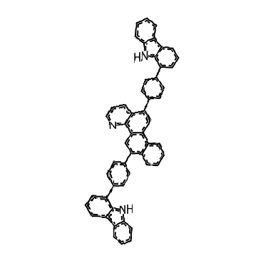 c1ccc2c(c1)[nH]c1c(-c3ccc(-c4cc5c(cc(-c6ccc(-c7cccc8c7[nH]c7ccccc78)cc6)c6cccnc65)c5ccccc45)cc3)cccc12